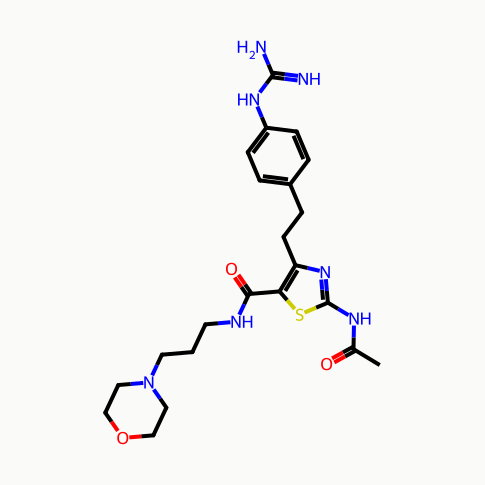 CC(=O)Nc1nc(CCc2ccc(NC(=N)N)cc2)c(C(=O)NCCCN2CCOCC2)s1